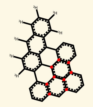 [2H]c1c([2H])c([2H])c2c(-c3ccccc3)c3c(-c4cccc5ccccc45)c(-c4ccccc4-c4cccc5ccccc45)c([2H])c([2H])c3c([2H])c2c1[2H]